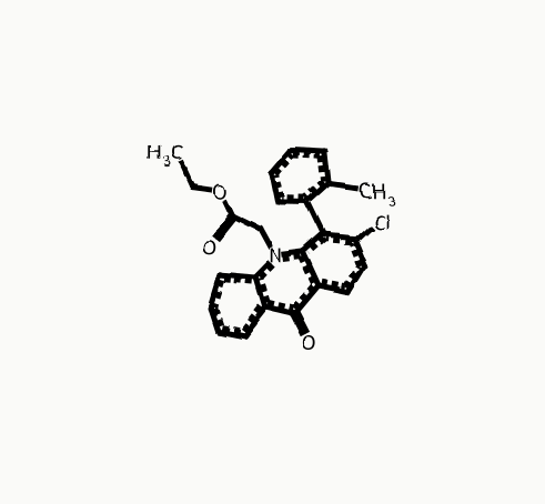 CCOC(=O)Cn1c2ccccc2c(=O)c2ccc(Cl)c(-c3ccccc3C)c21